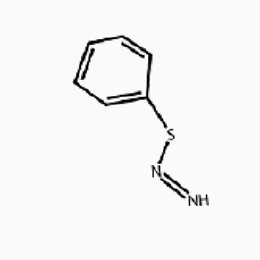 N=NSc1ccccc1